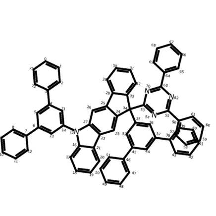 c1ccc(-c2cc(-c3ccccc3)cc(-n3c4ccccc4c4cc5c(cc43)-c3ccccc3C5(c3cc(-c4ccccc4)cc(-c4ccccc4)c3)c3nc(-c4ccccc4)nc(-c4ccccc4)n3)c2)cc1